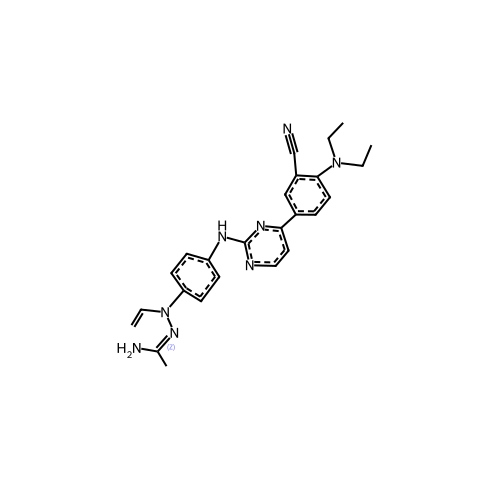 C=CN(/N=C(/C)N)c1ccc(Nc2nccc(-c3ccc(N(CC)CC)c(C#N)c3)n2)cc1